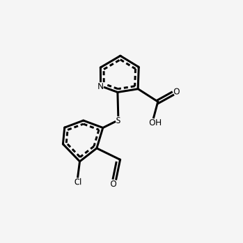 O=Cc1c(Cl)cccc1Sc1ncccc1C(=O)O